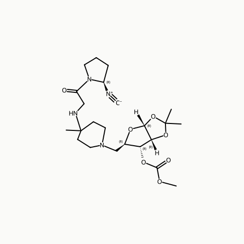 [C-]#[N+][C@@H]1CCCN1C(=O)CNC1(C)CCN(C[C@H]2O[C@@H]3OC(C)(C)O[C@@H]3[C@@H]2OC(=O)OC)CC1